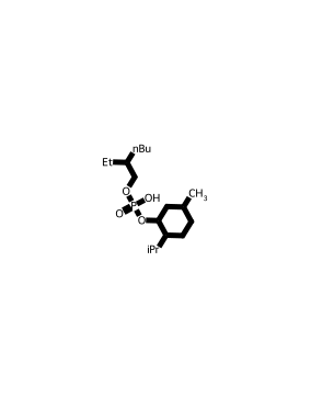 CCCCC(CC)COP(=O)(O)OC1CC(C)CCC1C(C)C